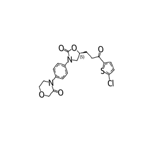 O=C(CC[C@H]1CN(c2ccc(N3CCOCC3=O)cc2)C(=O)O1)c1ccc(Cl)s1